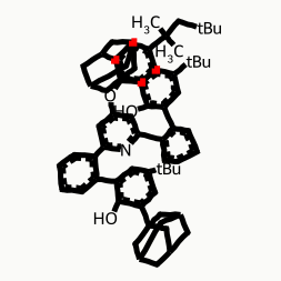 CC(C)(C)CC(C)(C)c1ccc(Oc2cc(-c3ccccc3-c3cc(C(C)(C)C)cc(C45CC6CC(CC(C6)C4)C5)c3O)nc(-c3ccccc3-c3cc(C(C)(C)C)cc(C45CC6CC(CC(C6)C4)C5)c3O)c2)cc1